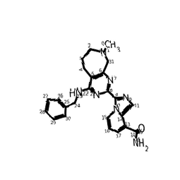 CN1CCCc2c(nc(-c3ncc4c(C(N)=O)cccn34)nc2NCc2ccccc2)C1